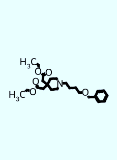 CCOC(=O)CC1(CC(=O)OCC)CCN(CCCCOCc2ccccc2)CC1